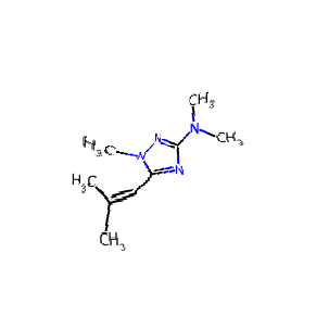 CC(C)=Cc1nc(N(C)C)nn1C